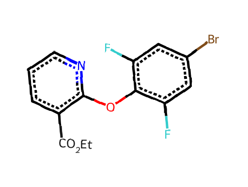 CCOC(=O)c1cccnc1Oc1c(F)cc(Br)cc1F